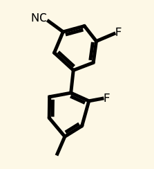 Cc1ccc(-c2cc(F)cc(C#N)c2)c(F)c1